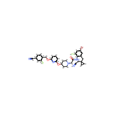 N#CCC1(Cc2cc(Br)cc(F)c2NC(=O)CN2CCC(Oc3cccc(OCc4ccc(C#N)cc4F)n3)CC2)CC1